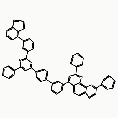 c1ccc(-c2cc(-c3ccc(-c4cccc(-c5cc(-c6ccccc6)nc6c5ccc5ccc(-c7ccccc7)nc56)c4)cc3)nc(-c3cccc(-c4cccc5ncccc45)c3)n2)cc1